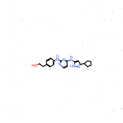 OCCc1ccc(Nc2nccc(Nc3cc(C4CCCC4)n[nH]3)n2)cc1